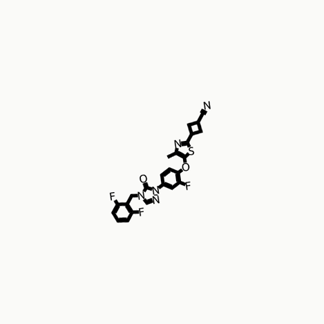 Cc1nc(C2CC(C#N)C2)sc1Oc1ccc(-n2ncn(Cc3c(F)cccc3F)c2=O)cc1F